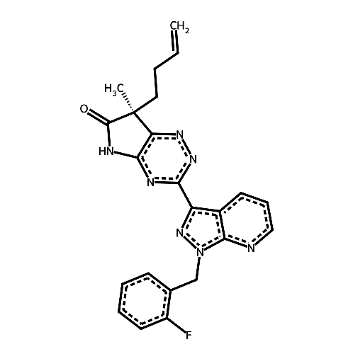 C=CCC[C@]1(C)C(=O)Nc2nc(-c3nn(Cc4ccccc4F)c4ncccc34)nnc21